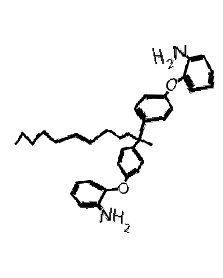 CCCCCCCCCCC(C)(c1ccc(Oc2ccccc2N)cc1)c1ccc(Oc2ccccc2N)cc1